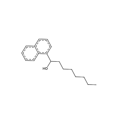 CCCCCCCC(O)c1cccc2ccccc12